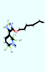 CCCCCCOc1nsnc1C1=CCC(F)(F)N(C)C1(F)F